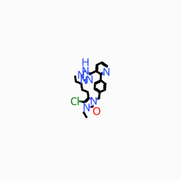 CCCCCc1c(Cl)n(CC)c(=O)n1Cc1ccc(-c2ncccc2-c2nnn[nH]2)cc1